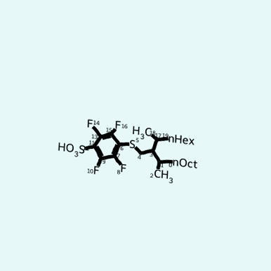 CCCCCCCCC(C)C(CSc1c(F)c(F)c(S(=O)(=O)O)c(F)c1F)C(C)CCCCCC